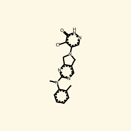 Cc1ccccc1N(C)c1ncc2c(n1)CN(c1cn[nH]c(=O)c1Cl)C2